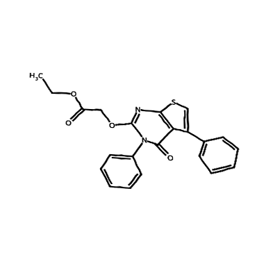 CCOC(=O)COc1nc2scc(-c3ccccc3)c2c(=O)n1-c1ccccc1